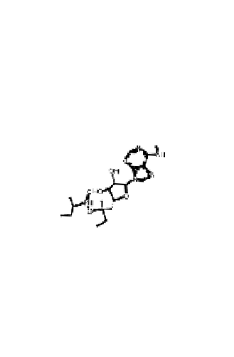 CCC(C)[PH](=O)O[C@@](C)(CC)C[C@H]1OC(n2cnc3c(NC)ncnc32)[C@H](O)C1O